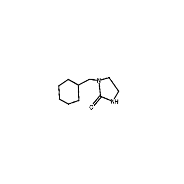 O=C1NCCN1CC1CCCCC1